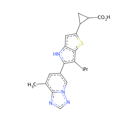 Cc1cc(-c2[nH]c3cc(C4CC4C(=O)O)sc3c2C(C)C)cn2ncnc12